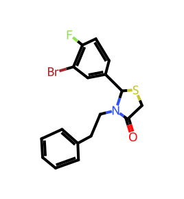 O=C1CSC(c2ccc(F)c(Br)c2)N1CCc1ccccc1